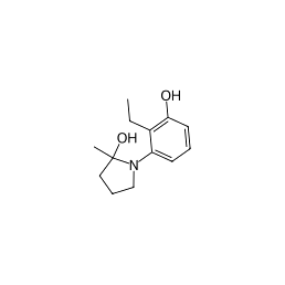 CCc1c(O)cccc1N1CCCC1(C)O